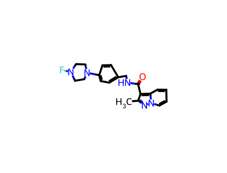 Cc1nn2ccccc2c1C(=O)NCc1ccc(N2CCN(F)CC2)cc1